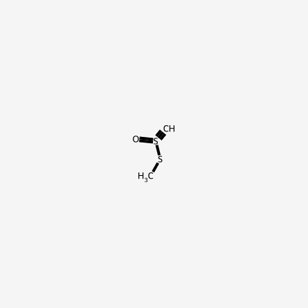 C#S(=O)SC